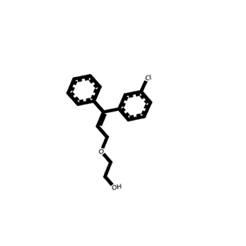 OCCOC/C=C(/c1ccccc1)c1cccc(Cl)c1